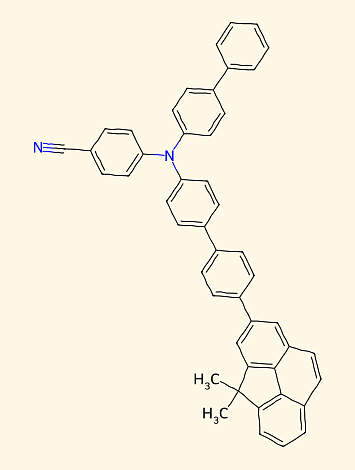 CC1(C)c2cccc3ccc4cc(-c5ccc(-c6ccc(N(c7ccc(C#N)cc7)c7ccc(-c8ccccc8)cc7)cc6)cc5)cc1c4c23